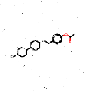 CCC(=O)Oc1ccc(CC[C@H]2CC[C@H]([C@H]3CC[C@H](CC)CC3)CC2)cc1